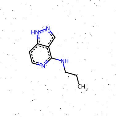 CCCNc1nccc2[nH]ncc12